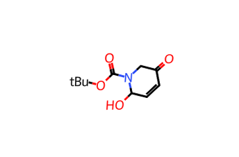 CC(C)(C)OC(=O)N1CC(=O)C=CC1O